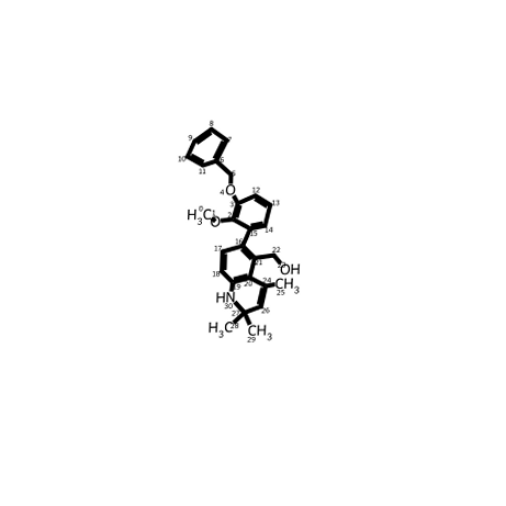 COc1c(OCc2ccccc2)cccc1-c1ccc2c(c1CO)C(C)=CC(C)(C)N2